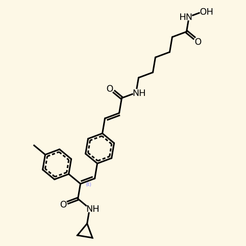 Cc1ccc(/C(=C\c2ccc(C=CC(=O)NCCCCCC(=O)NO)cc2)C(=O)NC2CC2)cc1